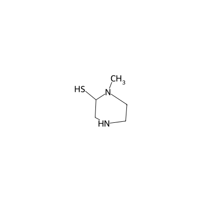 CN1CCNCC1S